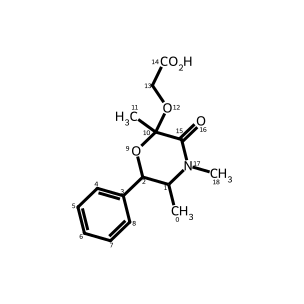 CC1C(c2ccccc2)OC(C)(OCC(=O)O)C(=O)N1C